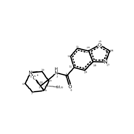 O=C(N[C@@H]1CN2CCC1CC2)c1ccc2ocnc2c1